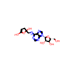 OC[C@H]1O[C@@H](n2cnc3c(NCC4(O)CC=C(O)O4)ncnc32)[C@@H](O)[C@@H]1O